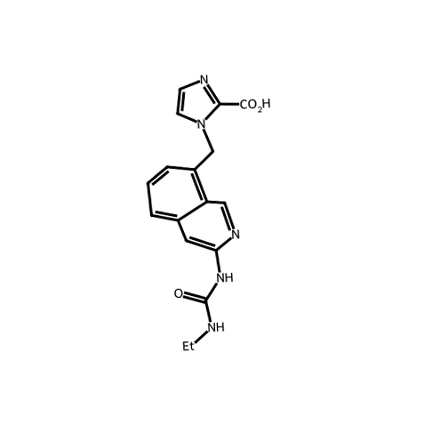 CCNC(=O)Nc1cc2cccc(Cn3ccnc3C(=O)O)c2cn1